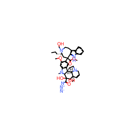 CCC[C@H]1CC(C(=O)OC)(c2cc3c(cc2OC)N(C)C2C(O)(C(=O)N=[N+]=[N-])C(O)[C@]4(CC)C=CCN5CC[C@]32[C@@H]54)c2[nH]c3ccccc3c2CCN1CO